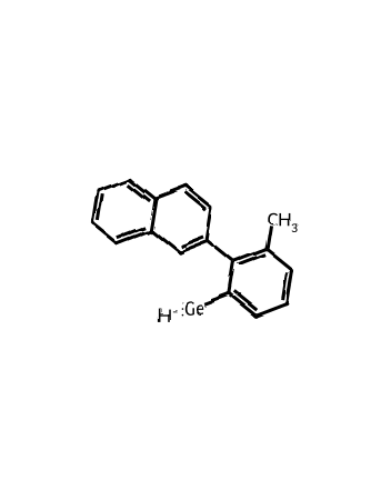 Cc1ccc[c]([Ge])c1-c1ccc2ccccc2c1.[H-]